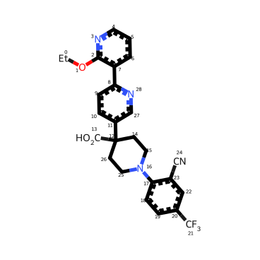 CCOc1ncccc1-c1ccc(C2(C(=O)O)CCN(c3ccc(C(F)(F)F)cc3C#N)CC2)cn1